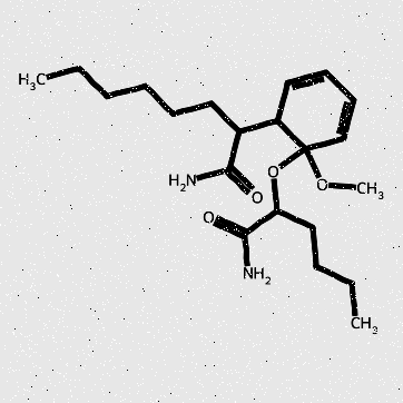 CCCCCCC(C(N)=O)C1C=CC=CC1(OC)OC(CCCC)C(N)=O